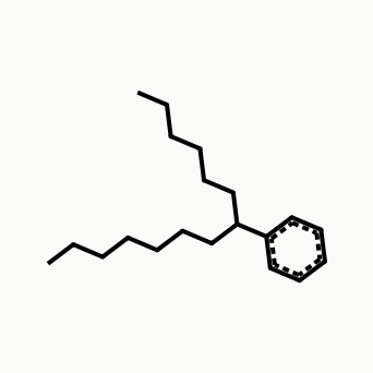 CCCCCCCC(CCCCCC)c1ccccc1